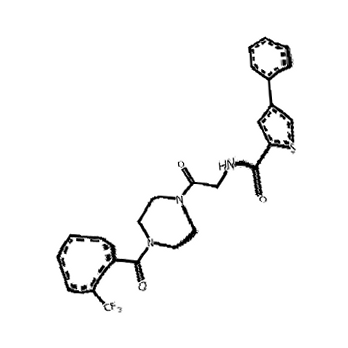 O=C(NCC(=O)N1CCN(C(=O)c2ccccc2C(F)(F)F)CC1)c1cc(-c2ccccc2)cs1